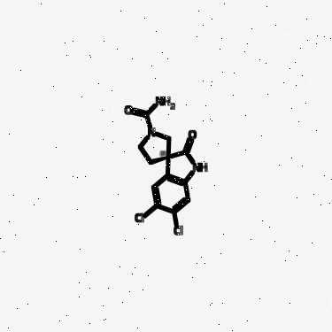 NC(=O)N1CC[C@@]2(C1)C(=O)Nc1cc(Cl)c(Cl)cc12